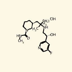 CNC(=O)N1CCC[C@@H](CC(C)(C)NC[C@H](O)c2cncc(F)c2)C1.Cl.Cl